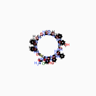 CCCC[C@H]1C(=O)N(C)CC(=O)N[C@@H](CC(=O)O)C(=O)N[C@@H](C(C)C)C(=O)N(C)[C@@H](Cc2ccccc2)C(=O)N[C@@H](Cc2ccc(O)cc2)C(=O)N(C)CC(=O)N[C@@H](Cc2c[nH]c3ccccc23)C(=O)N[C@@H](Cc2ccc(O)cc2)C(=O)N[C@@H](Cc2ccc(Cl)cc2)C(=O)N[C@H](C(=O)NCC(N)=O)CSCC(=O)N[C@@H](Cc2ccccc2)C(=O)N(C)[C@@H](Cc2ccccc2)C(=O)N1C